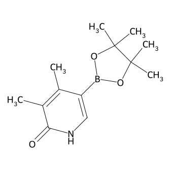 Cc1c(B2OC(C)(C)C(C)(C)O2)c[nH]c(=O)c1C